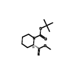 C=C(OC)[C@@H]1CCCCN1C(=O)OC(C)(C)C